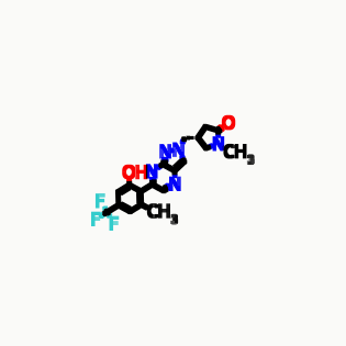 Cc1cc(C(F)(F)F)cc(O)c1-c1cnc2cn(C[C@@H]3CC(=O)N(C)C3)nc2n1